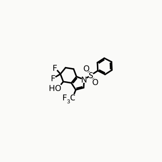 O=S(=O)(c1ccccc1)n1cc(C(F)(F)F)c2c1CCC(F)(F)C2O